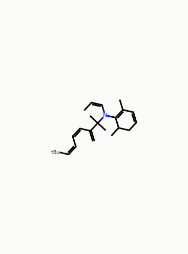 C=C(/C=C\C=C/C(C)(C)C)C(C)(C)N(/C=C\C)C1=C(C)C=CCC1C